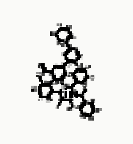 C=Cc1cc(-c2cccc(C3=CC=CCC3)c2)ccc1-c1c(C)cccc1/C(=N/C(NC(C)c1ccccc1)c1ccccc1)C(C)CC